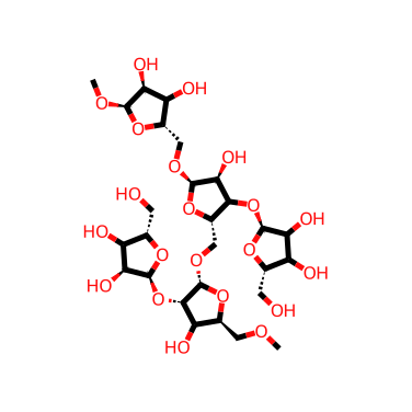 COC[C@@H]1O[C@@H](OC[C@@H]2O[C@@H](OC[C@@H]3O[C@@H](OC)[C@@H](O)C3O)[C@@H](O)C2O[C@@H]2O[C@@H](CO)C(O)C2O)[C@@H](O[C@@H]2O[C@@H](CO)C(O)[C@@H]2O)C1O